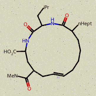 CCCCCCCC1CCCC/C=C/CC(C(=O)NC)CC(C(=O)O)NC(=O)C(CC(C)C)NC1=O